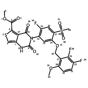 COC(=O)c1scc2[nH]c(=O)n(-c3cc(OCc4c(OC)ccc(F)c4F)c(S(C)(=O)=O)cc3F)c(=O)c12